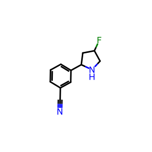 N#Cc1cccc(C2CC(F)CN2)c1